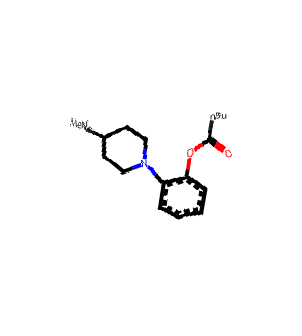 CCCCC(=O)Oc1ccccc1N1CCC(NC)CC1